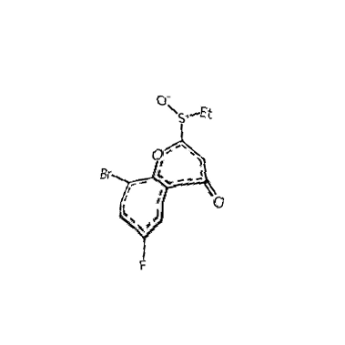 CC[S+]([O-])c1cc(=O)c2cc(F)cc(Br)c2o1